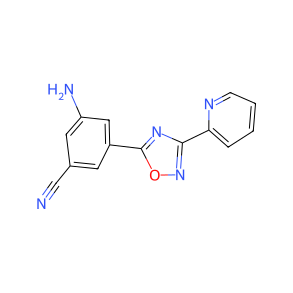 N#Cc1cc(N)cc(-c2nc(-c3ccccn3)no2)c1